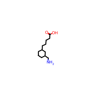 NCC1CCCC(CCCCC(=O)O)C1